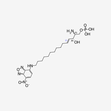 N[C@@H](COP(=O)(O)O)[C@H](O)/C=C/CCCCCCCCCCNc1ccc([N+](=O)[O-])c2nonc12